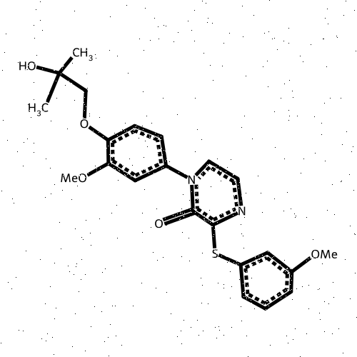 COc1cccc(Sc2nccn(-c3ccc(OCC(C)(C)O)c(OC)c3)c2=O)c1